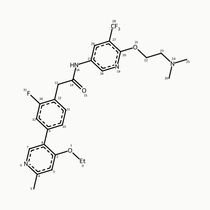 CCOc1cc(C)ncc1-c1ccc(CC(=O)Nc2cnc(OCCN(C)C)c(C(F)(F)F)c2)c(F)c1